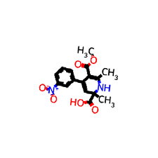 COC(=O)C1=C(C)NC(C)(C(=O)O)C=C1c1cccc([N+](=O)[O-])c1